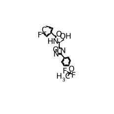 CC(F)(F)Oc1ccc(-c2noc([C@H](CO)NC(=O)c3cccc(F)c3)n2)cc1